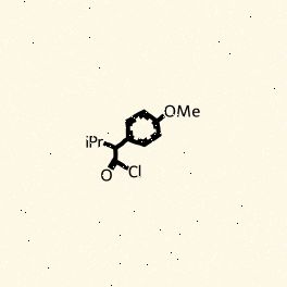 COc1ccc(C(C(=O)Cl)C(C)C)cc1